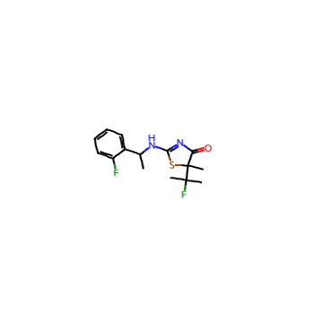 CC(NC1=NC(=O)C(C)(C(C)(C)F)S1)c1ccccc1F